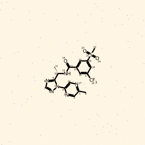 Cc1cnc(-n2ncnc2[C@H](C)NC(=O)c2cc(C(F)(F)F)cc(S(C)(=O)=O)c2)cn1